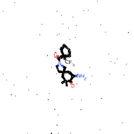 CC1(C)CC2(C=C(N)C1=O)CCN(C(=O)C1(C(F)(F)F)CCCC1)C2